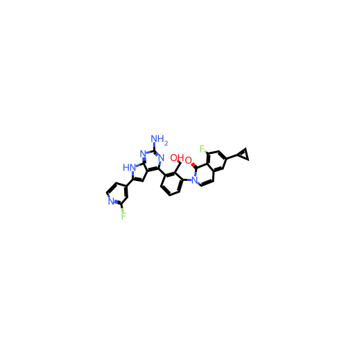 Nc1nc(-c2cccc(-n3ccc4cc(C5=CC5)cc(F)c4c3=O)c2CO)c2cc(-c3ccnc(F)c3)[nH]c2n1